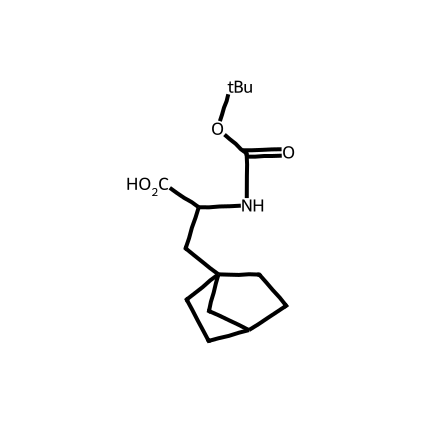 CC(C)(C)OC(=O)NC(CC12CCC(CC1)C2)C(=O)O